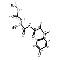 CC(C)[C@H](NC(=O)OC(C)(C)C)C(=O)NC(=O)C(C)N(C)c1ccc(Cl)cc1